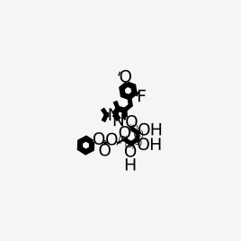 COc1ccc(Cc2c(O[C@@H]3O[C@H](COC(=O)Oc4ccccc4)[C@@H](O)[C@H](O)[C@H]3O)nn(C(C)C)c2C)c(F)c1